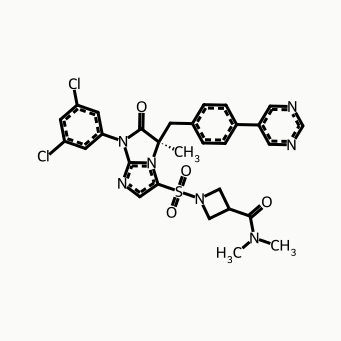 CN(C)C(=O)C1CN(S(=O)(=O)c2cnc3n2[C@](C)(Cc2ccc(-c4cncnc4)cc2)C(=O)N3c2cc(Cl)cc(Cl)c2)C1